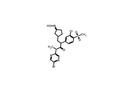 CN(C(=O)C(CC1CC/C(=N/O)C1)c1ccc(S(C)(=O)=O)c(Cl)c1)c1cnc(Br)cn1